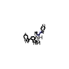 C=N/C(=C\C=C(/C)N1CCN(C)CC1)Nc1ccc(-c2cnn3c2C[C@H](C)CC3)c2c1C(=O)NC2